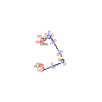 COP(=O)(O)OC1C[C@H](n2cc(/C=C/C(=O)NCCCCCCNC(=O)CCSC3=CC(=O)N(CCCCCC(=O)NCCCCC(CO)COP(C)(=O)O)C3=O)c(=O)[nH]c2=O)O[C@@H]1CO